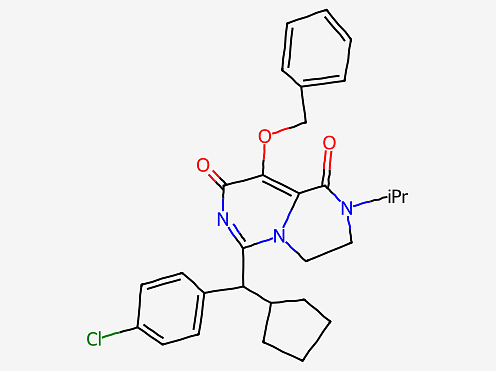 CC(C)N1CCn2c(C(c3ccc(Cl)cc3)C3CCCC3)nc(=O)c(OCc3ccccc3)c2C1=O